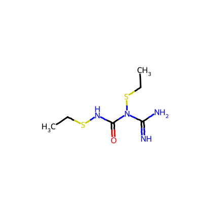 CCSNC(=O)N(SCC)C(=N)N